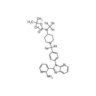 [2H]C([2H])([2H])N(C(=O)OC(C)(C)C)C1CCN(C([2H])([2H])c2ccc(-n3c(-c4cccnc4N)nc4cccnc43)cc2)CC1